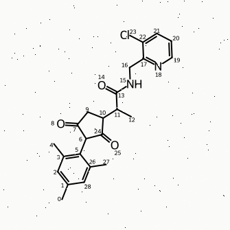 Cc1cc(C)c(C2C(=O)CC(C(C)C(=O)NCc3ncccc3Cl)C2=O)c(C)c1